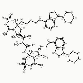 CC(C)N1C(N)=NS(=O)(=O)NC1(NCCCOc1cccc2c1CCC2N1CCCCC1)OC(=O)C(O)C(O)C(=O)OC1(NCCCOc2cccc3c2CCC3N2CCCCC2)NS(=O)(=O)N=C(N)N1C(C)C